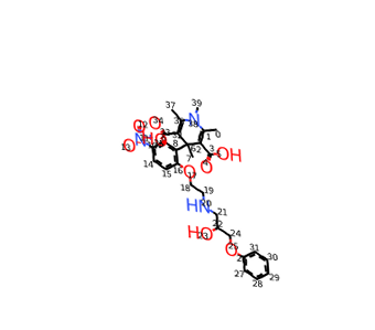 CC1=C(C(=O)O)C(C)(c2cc([N+](=O)[O-])ccc2OCCNCC(O)COc2ccccc2)C(C(=O)O)=C(C)N1C